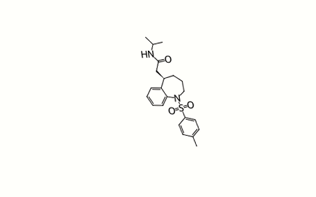 Cc1ccc(S(=O)(=O)N2CCC[C@H](CC(=O)NC(C)C)c3ccccc32)cc1